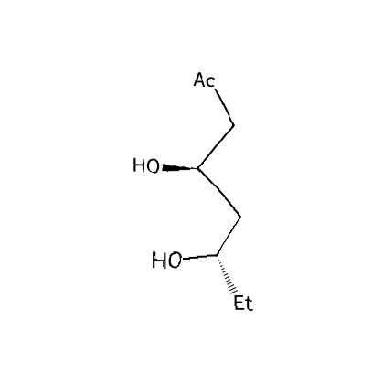 CC[C@H](O)C[C@@H](O)CC(C)=O